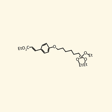 CCOC(=O)C=Cc1ccc(OCCCCCC[Si](OCC)(OCC)OCC)cc1